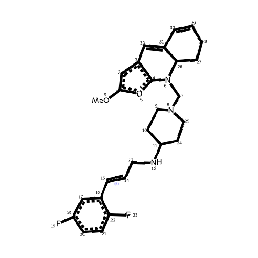 COc1cc2c(o1)N(CN1CCC(NC/C=C/c3cc(F)ccc3F)CC1)C1CCC=CC1=C2